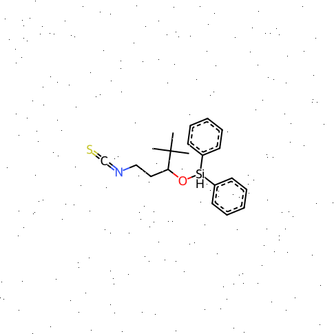 CC(C)(C)C(CCN=C=S)O[SiH](c1ccccc1)c1ccccc1